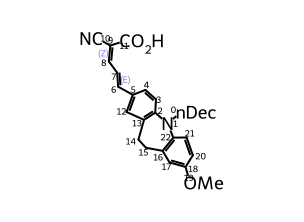 CCCCCCCCCCN1c2ccc(/C=C/C=C(/C#N)C(=O)O)cc2CCc2cc(OC)ccc21